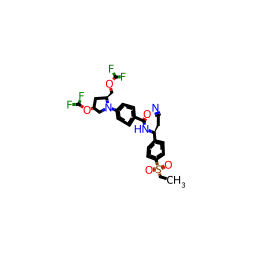 CCS(=O)(=O)c1ccc([C@H](CC#N)NC(=O)c2ccc(N3CC(OC(F)F)C[C@H]3COC(F)F)cc2)cc1